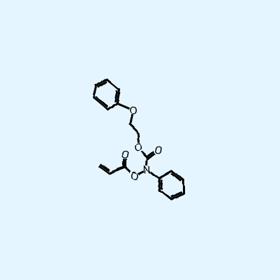 C=CC(=O)ON(C(=O)OCCOc1ccccc1)c1ccccc1